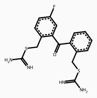 N=C(N)SCc1ccccc1C(=O)c1cc(F)ccc1CSC(=N)N